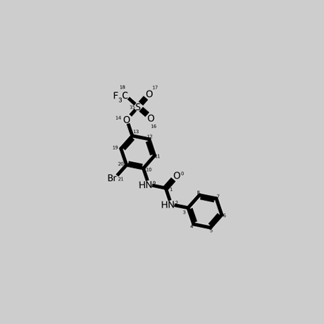 O=C(Nc1ccccc1)Nc1ccc(OS(=O)(=O)C(F)(F)F)cc1Br